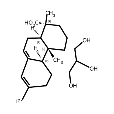 CC(C)C1=CC2=CC[C@@H]3[C@](C)(CCC[C@@]3(C)C(=O)O)[C@H]2CC1.OCC(O)CO